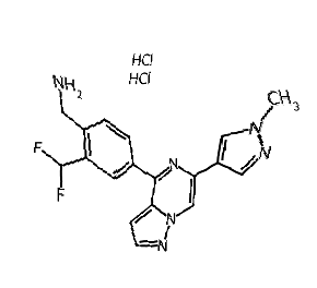 Cl.Cl.Cn1cc(-c2cn3nccc3c(-c3ccc(CN)c(C(F)F)c3)n2)cn1